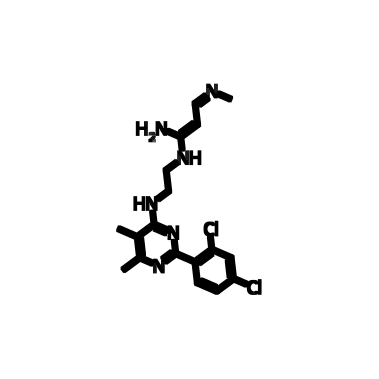 C/N=C\C=C(/N)NCCNc1nc(-c2ccc(Cl)cc2Cl)nc(C)c1C